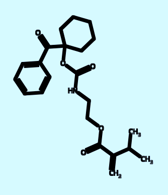 C=C(C(=O)OCCNC(=O)OC1(C(=O)c2ccccc2)CCCCC1)C(C)C